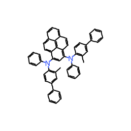 Cc1cc(-c2ccccc2)ccc1N(c1ccccc1)c1cc(N(c2ccccc2)c2ccc(-c3ccccc3)cc2C)c2ccc3cccc4ccc1c2c43